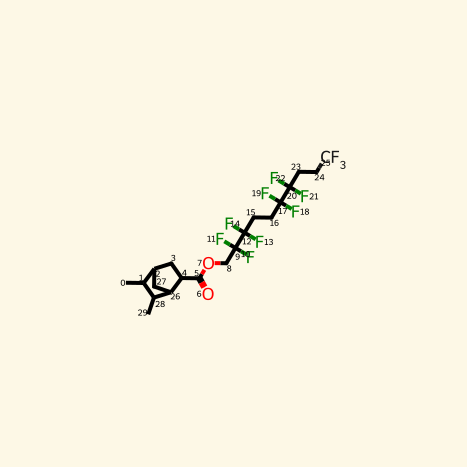 CC1C2CC(C(=O)OCC(F)(F)C(F)(F)CCC(F)(F)C(F)(F)CCC(F)(F)F)C(C2)C1C